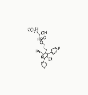 CCc1c(-c2ccccc2)nc(C(C)C)c(CCCO[PH](=O)C[C@@H](O)CC(=O)O)c1-c1ccc(F)cc1